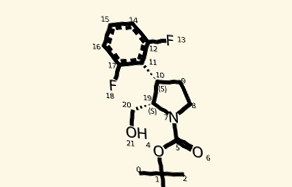 CC(C)(C)OC(=O)N1CC[C@@H](c2c(F)cccc2F)[C@H]1CO